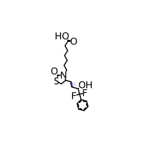 O=C(O)CCCCCCN1C(=O)SCC1/C=C/C(O)C(F)(F)c1ccccc1